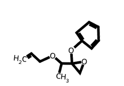 C=CCOC(C)C1(Oc2ccccc2)CO1